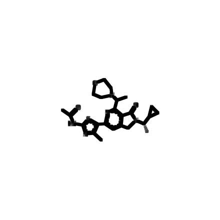 CC(=O)Nc1nc(C)c(-c2cc3c(c(C(C)N4CCOCC4)n2)C(=O)N([C@@H](C)C2CC2)C3)s1